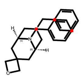 c1ccc(CN2C[C@@H]3CC4(COC4)C[C@H](C2)N3Cc2ccccc2)cc1